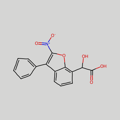 O=C(O)C(O)c1cccc2c(-c3ccccc3)c([N+](=O)[O-])oc12